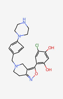 Oc1cc(O)c(-c2onc3c2CN(Cc2ccc(N4CCNCC4)cc2)CC3)cc1Cl